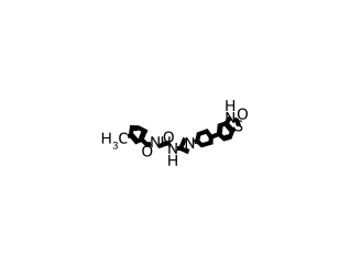 Cc1cccc(C(=O)NCC(=O)NC2CN(C3CCC(c4ccc5sc(=O)[nH]c5c4)CC3)C2)c1